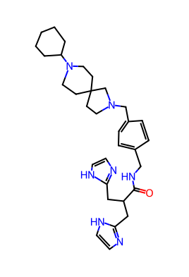 O=C(NCc1ccc(CN2CCC3(CCN(C4CCCCC4)CC3)C2)cc1)C(Cc1ncc[nH]1)Cc1ncc[nH]1